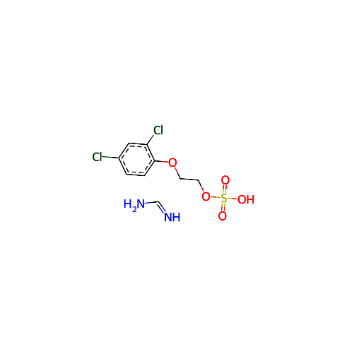 N=CN.O=S(=O)(O)OCCOc1ccc(Cl)cc1Cl